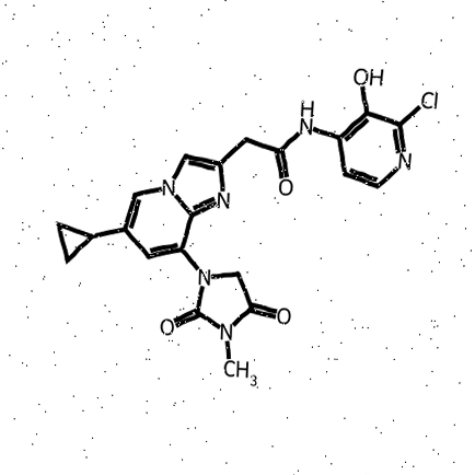 CN1C(=O)CN(c2cc(C3CC3)cn3cc(CC(=O)Nc4ccnc(Cl)c4O)nc23)C1=O